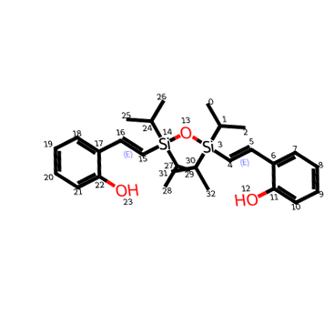 CC(C)[Si](/C=C/c1ccccc1O)(O[Si](/C=C/c1ccccc1O)(C(C)C)C(C)C)C(C)C